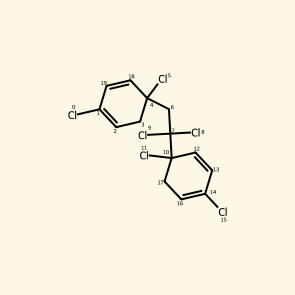 ClC1=CCC(Cl)(CC(Cl)(Cl)C2(Cl)C=CC(Cl)=CC2)C=C1